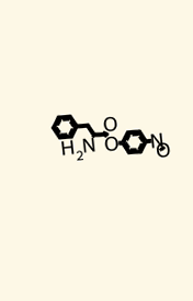 N[C@@H](Cc1ccccc1)C(=O)Oc1ccc(N=O)cc1